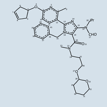 Cc1nc(OC2CC=CC2)ccc1-c1nc(N(C=O)C(C)C)c(C(=O)N(C)CCCOC2CCCCO2)n1Cc1ccccc1